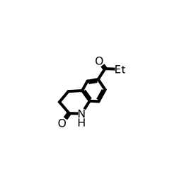 CCC(=O)c1ccc2c(c1)CCC(=O)N2